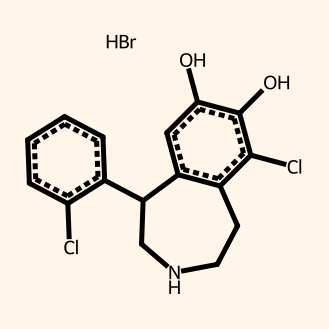 Br.Oc1cc2c(c(Cl)c1O)CCNCC2c1ccccc1Cl